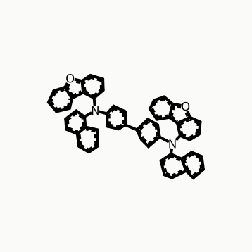 c1ccc2c(N(c3ccc(-c4ccc(N(c5cccc6ccccc56)c5cccc6oc7ccccc7c56)cc4)cc3)c3cccc4oc5ccccc5c34)cccc2c1